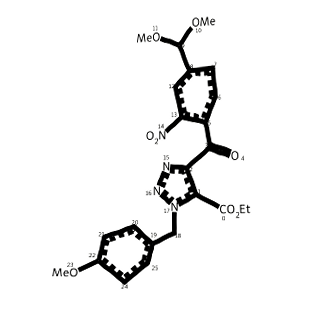 CCOC(=O)c1c(C(=O)c2ccc(C(OC)OC)cc2[N+](=O)[O-])nnn1Cc1ccc(OC)cc1